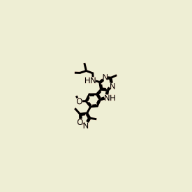 CCC(C)CNc1nc(C)nc2[nH]c3cc(-c4c(C)noc4C)c(OC)cc3c12